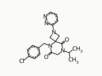 CC(C)N1CC(=O)N(Cc2ccc(Cl)cc2)C2(CN(c3cccnn3)C2)C1=O